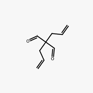 C=CCC([C]=O)(C=O)CC=C